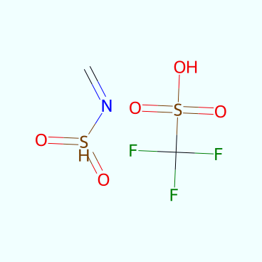 C=N[SH](=O)=O.O=S(=O)(O)C(F)(F)F